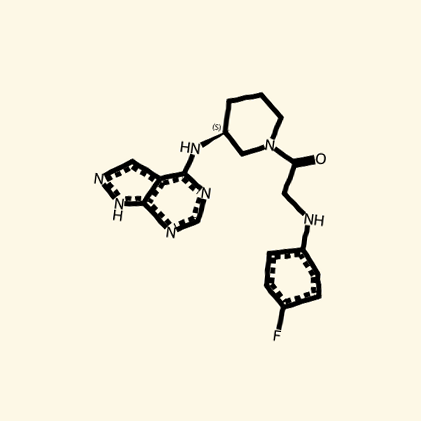 O=C(CNc1ccc(F)cc1)N1CCC[C@H](Nc2ncnc3[nH]ncc23)C1